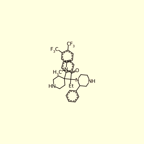 CCC(C(=O)N(C)c1ccc(C(F)(F)F)c(C(F)(F)F)c1)(N1CCNCC1c1ccccc1)C1(c2ccccc2)CCNCC1